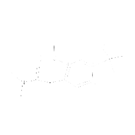 COc1cc(C(C)(C)C)ccc1CC(=O)N(C)C